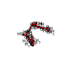 CCCC(=O)OCN(C(=O)[C@@H](NC(=O)[C@H]1CCCCCN1C)C(C)CC)[C@H](CCc1nc(C(=O)N[C@@H](Cc2ccc(O)cc2)C[C@H](C)C(=O)NNC(=O)OCCSSCCNC(=O)[C@H](C)NC(=O)[C@H](CC(=O)O)NC(=O)Cc2ccc(CNC(=O)NCCCC[C@H](NC(=O)N[C@@H](C)C(=O)O)C(=O)O)cc2)cs1)C(C)C